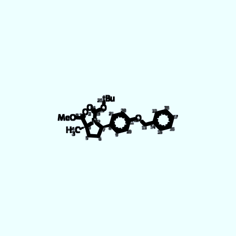 COC(=O)[C@]1(C)CC[C@H](c2ccc(OCc3ccccc3)cc2)N1C(=O)OC(C)(C)C